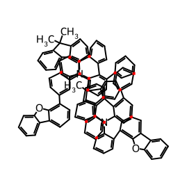 CC1(C)c2ccccc2-c2c(N(c3cccc(-c4cccc5c4oc4ccccc45)c3)c3cccc(-c4ccccc4)c3-c3ccccc3-c3ccccc3CC3(C)c4ccccc4-c4c(N(c5ccccc5-c5cccc6c5oc5ccccc56)c5cccc(-c6ccccc6)c5-c5ccccc5-c5ccccc5)cccc43)cccc21